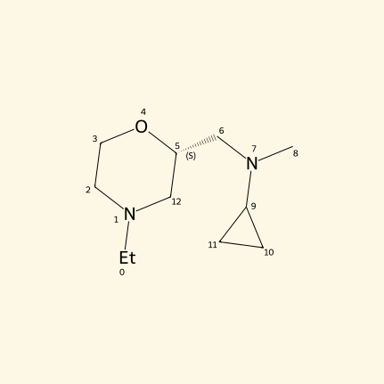 CCN1CCO[C@H](CN(C)C2CC2)C1